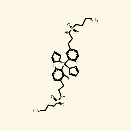 CCCCS(=O)(=O)NCCc1ccc(F)[c]([Ti]([c]2c(F)ccc(CCNS(=O)(=O)CCCC)c2F)([CH]2C=CC=C2)[CH]2C=CC=C2)c1F